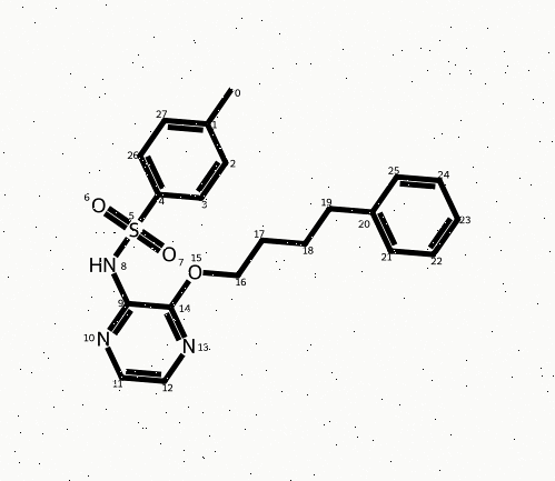 Cc1ccc(S(=O)(=O)Nc2nccnc2OCCCCc2ccccc2)cc1